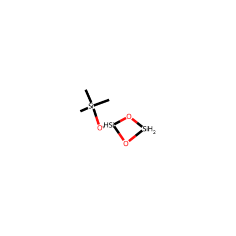 C[Si](C)(C)O[SiH]1O[SiH2]O1